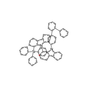 c1ccc(-c2ccccc2-c2ccc(-n3c4ccccc4c4cccc(-n5c6ccccc6c6cccc([Si](c7ccccc7)(c7ccccc7)c7ccccc7)c65)c43)cc2)cc1